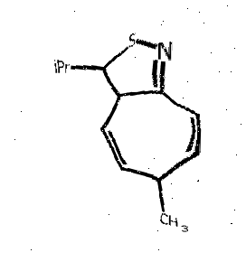 CC1C=CC2=NSC(C(C)C)C2C=C1